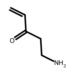 C=CC(=O)CCN